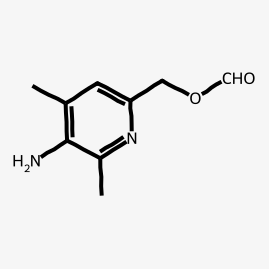 Cc1cc(COC=O)nc(C)c1N